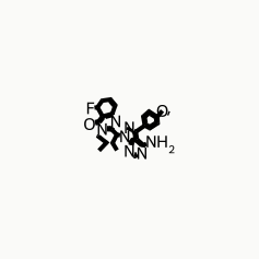 CCCn1c(C(CC)n2nc(-c3ccc(OC)cc3)c3c(N)ncnc32)nc2c(c1=O)C(F)CC=C2